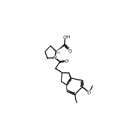 COc1cc2c(cc1C)CC(CC(=O)N1CCC[C@H]1C(=O)O)C2